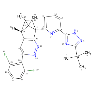 CC(C)(C#N)c1n[nH]c(-c2cccc([C@]34CC[C@@H](c5cc(-c6c(F)cccc6F)nnc53)C4(C)C)n2)n1